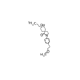 CCCC1(O)CCC2(CCN(c3ccc(CCOC)cc3)C2=O)CC1